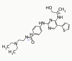 CCN(CC)CC/N=[SH](=O)/c1ccc(Nc2ncc(-c3cccs3)c(N[C@H](C)CO)n2)cc1